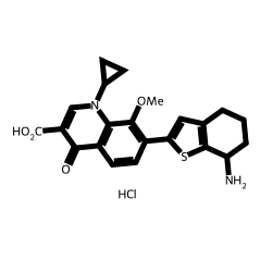 COc1c(-c2cc3c(s2)C(N)CCC3)ccc2c(=O)c(C(=O)O)cn(C3CC3)c12.Cl